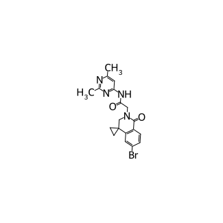 Cc1cc(NC(=O)CN2CC3(CC3)c3cc(Br)ccc3C2=O)nc(C)n1